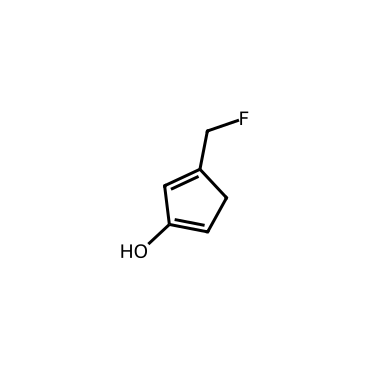 OC1=CCC(CF)=C1